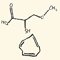 COCC(S)C(=O)O.c1ccccc1